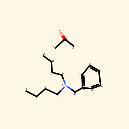 CC(C)=O.CCCCN(CCCC)Cc1ccccc1